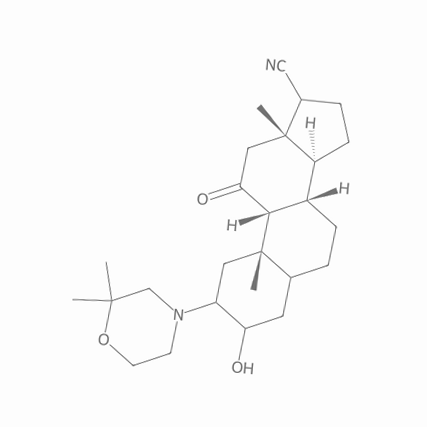 CC1(C)CN(C2C[C@@]3(C)C(CC[C@@H]4[C@H]3C(=O)C[C@]3(C)C(C#N)CC[C@@H]43)CC2O)CCO1